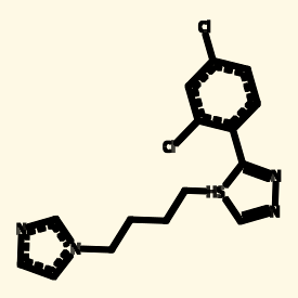 Clc1ccc(C2=NN=C[SH]2CCCCn2ccnc2)c(Cl)c1